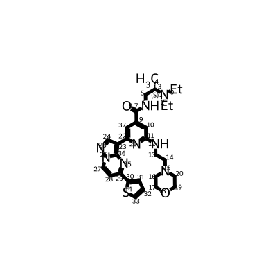 CCN(CC)[C@@H](C)CNC(=O)c1cc(NCCN2CCOCC2)nc(-c2cnn3ccc(-c4cccs4)nc23)c1